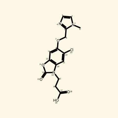 Cn1ccnc1COc1cc2oc(=O)n(CCC(=O)O)c2cc1Cl